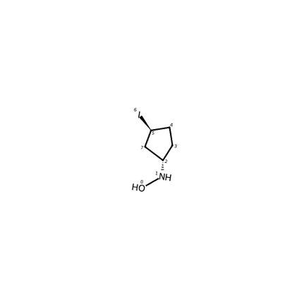 ON[C@H]1CC[C@H](I)C1